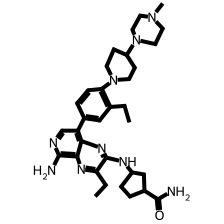 CCc1cc(-c2cnc(N)c3nc(CC)c(NC4CCC(C(N)=O)C4)nc23)ccc1N1CCC(N2CCN(C)CC2)CC1